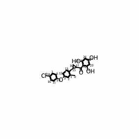 Cc1cc(Oc2ccc(Cl)cc2)ccc1C1CC1C(=O)c1c(O)cc(O)cc1O